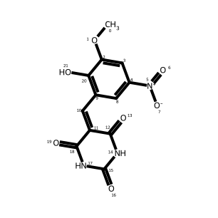 COc1cc([N+](=O)[O-])cc(C=C2C(=O)NC(=O)NC2=O)c1O